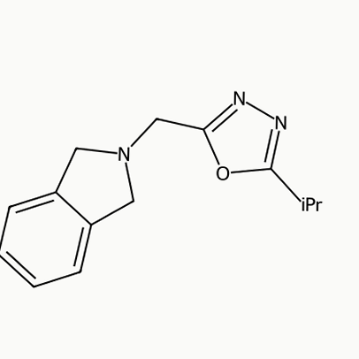 CC(C)c1nnc(CN2Cc3ccccc3C2)o1